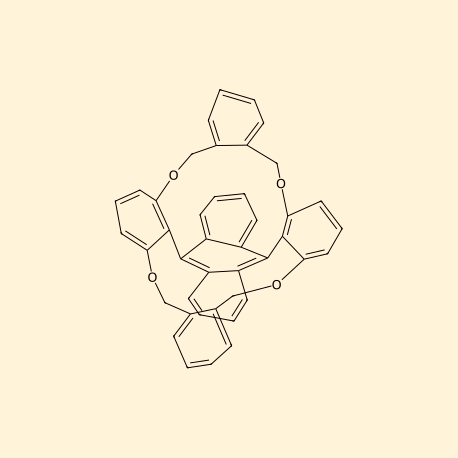 c1ccc2c(c1)COc1cccc3c1-c1c4ccccc4c(c4ccccc14)-c1c(cccc1OCc1ccccc1CO3)OC2